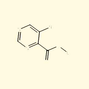 CCOC(=O)c1ncncc1N